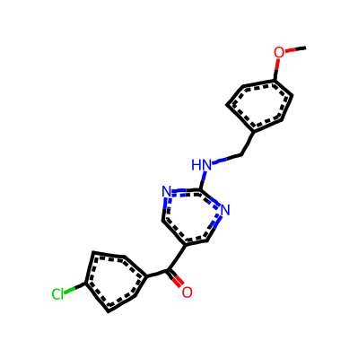 COc1ccc(CNc2ncc(C(=O)c3ccc(Cl)cc3)cn2)cc1